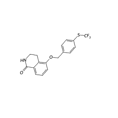 O=C1NCCc2c(OCc3ccc(SC(F)(F)F)cc3)cccc21